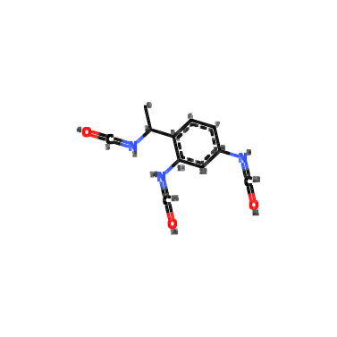 CC(N=C=O)c1ccc(N=C=O)cc1N=C=O